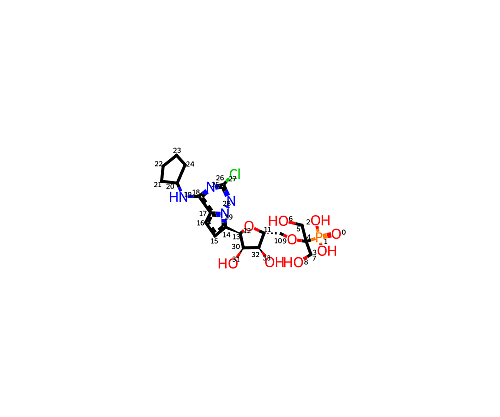 O=P(O)(O)C(CO)(CO)OC[C@H]1O[C@H](c2ccc3c(NC4CCCC4)nc(Cl)nn23)[C@H](O)[C@@H]1O